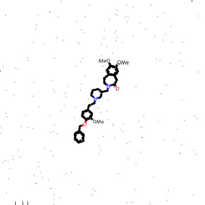 COc1cc2c(cc1OC)CC(=O)N(CC1CCCN(CCc3ccc(OCc4ccccc4)c(OC)c3)C1)CC2